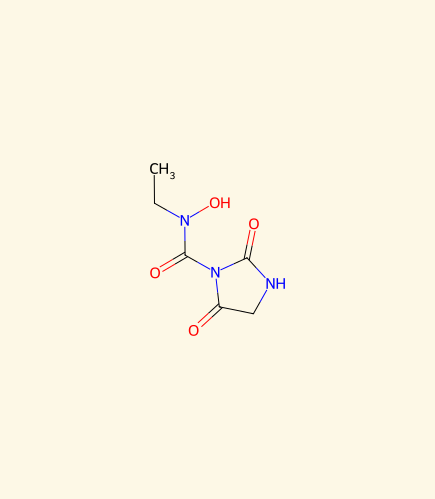 CCN(O)C(=O)N1C(=O)CNC1=O